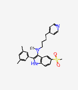 CCN(CCCCc1ccncc1)c1c(-c2cc(C)cc(C)c2)[nH]c2ccc(S(C)(=O)=O)cc12